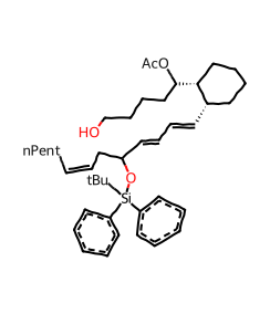 CCCCC/C=C\CC(/C=C/C=C/[C@H]1CCCC[C@H]1C(CCCCO)OC(C)=O)O[Si](c1ccccc1)(c1ccccc1)C(C)(C)C